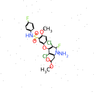 COC(=O)CC1=C(Cl)C(Oc2ccc(OC)c(S(=O)(=O)Nc3ccc(F)cc3)c2)=C(Cl)C(F)N1N